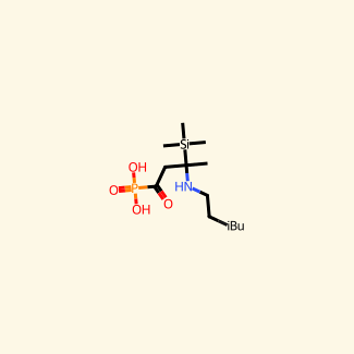 CCC(C)CCNC(C)(CC(=O)P(=O)(O)O)[Si](C)(C)C